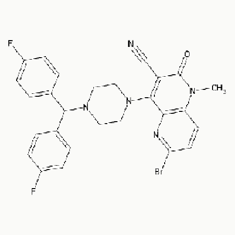 Cn1c(=O)c(C#N)c(N2CCN(C(c3ccc(F)cc3)c3ccc(F)cc3)CC2)c2nc(Br)ccc21